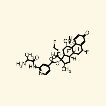 C[C@H](N)C(=O)Nc1cc(C(=O)O[C@]2(C(=O)SCF)[C@H](C)C[C@H]3[C@@H]4C[C@H](F)C5=CC(=O)C=C[C@]5(C)[C@@]4(F)[C@@H](O)C[C@@]32C)ccn1